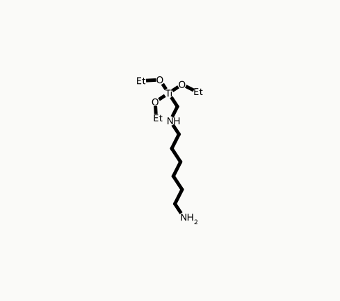 CC[O][Ti]([CH2]NCCCCCCN)([O]CC)[O]CC